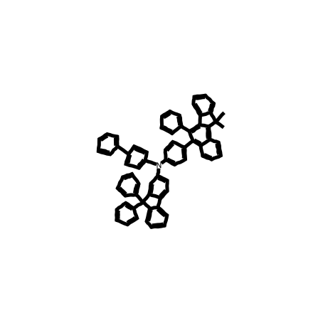 CC1(C)c2ccccc2-c2c(-c3ccccc3)c(-c3ccc(N(c4ccc(-c5ccccc5)cc4)c4ccc5c(c4)C(c4ccccc4)(c4ccccc4)c4ccccc4-5)cc3)c3ccccc3c21